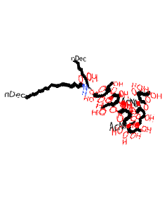 CCCCCCCCCCCCC/C=C/[C@@H](O)[C@H](CO[C@@H]1OC(CO)[C@@H](O[C@@H]2OC(CO)[C@H](O[C@@H]3OC(CO)[C@H](O[C@@H]4OC(CO)[C@H](O)[C@H](O)C4NC(C)=O)[C@H](O[C@@H]4OC(CO)[C@H](O)[C@H](O[C@H]5OC(CO)[C@H](O)[C@H](O)C5NC(C)=O)C4NC(C)=O)C3O)[C@H](O)C2O)[C@H](O)C1O)NC(=O)CCCCCCCCCCCCCCCCCCCCCCC